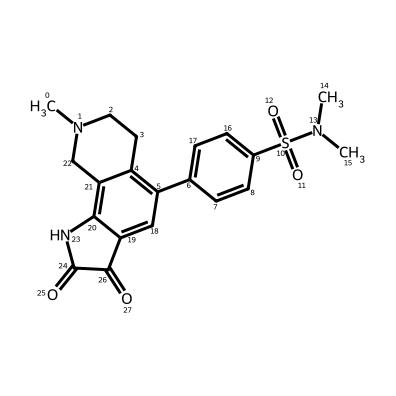 CN1CCc2c(-c3ccc(S(=O)(=O)N(C)C)cc3)cc3c(c2C1)NC(=O)C3=O